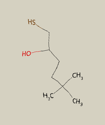 CC(C)(C)CCC(O)CS